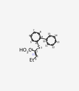 CC/C=C(/Sc1ccccc1-c1ccccc1)C(=O)O